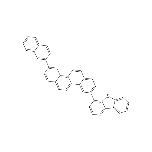 c1ccc2cc(-c3ccc4ccc5c6cc(-c7cccc8c7sc7ccccc78)ccc6ccc5c4c3)ccc2c1